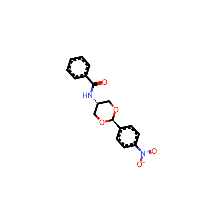 O=C(N[C@H]1CO[C@H](c2ccc([N+](=O)[O-])cc2)OC1)c1ccccc1